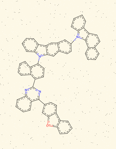 c1ccc2c(c1)ccc1c3ccccc3n(-c3ccc4cc5c(cc4c3)c3ccccc3n5-c3ccc(-c4nc(-c5ccc6c(c5)oc5ccccc56)c5ccccc5n4)c4ccccc34)c21